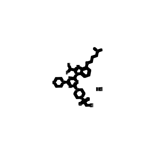 CN(C)CCCOc1cccc2c1nc(C(F)F)n2-c1nc(N2CCOCC2)nc(N2CCN(S(=O)(=O)CCl)CC2)n1.Cl